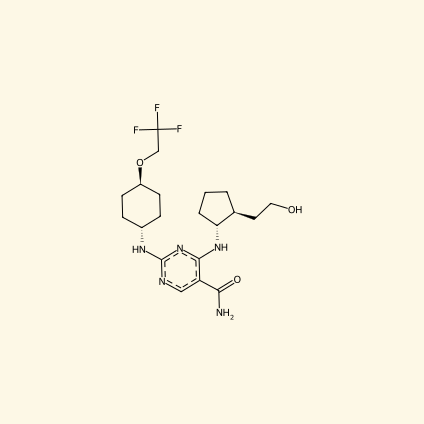 NC(=O)c1cnc(N[C@H]2CC[C@H](OCC(F)(F)F)CC2)nc1N[C@@H]1CCC[C@H]1CCO